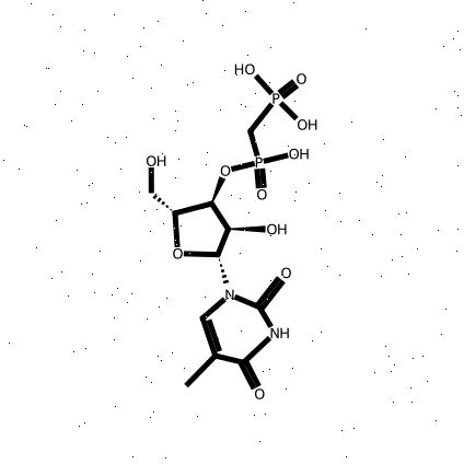 Cc1cn([C@@H]2O[C@H](CO)[C@@H](OP(=O)(O)CP(=O)(O)O)[C@H]2O)c(=O)[nH]c1=O